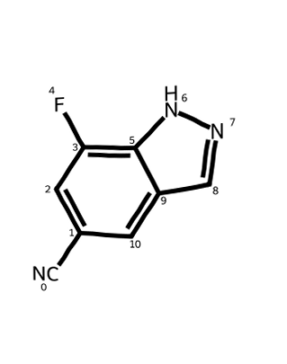 N#Cc1cc(F)c2[nH]ncc2c1